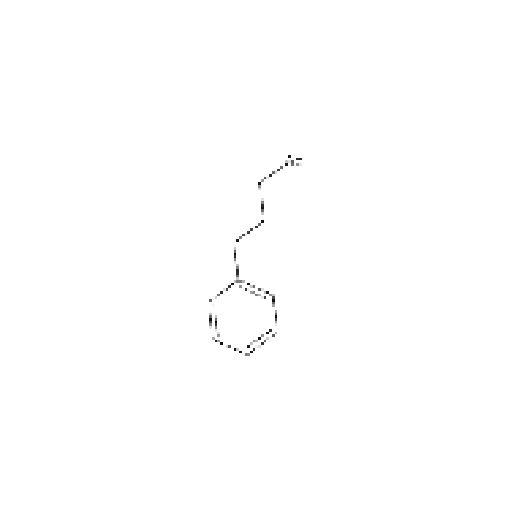 CC(=O)CCCc1ccccc1